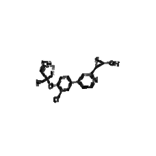 C=CC(F)(F)Oc1ccc(-c2ccnc(C3SC3O)c2)cc1Cl